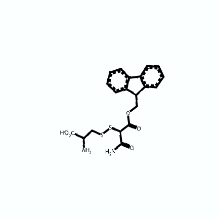 NC(=O)C(SSCC(N)C(=O)O)C(=O)OCC1c2ccccc2-c2ccccc21